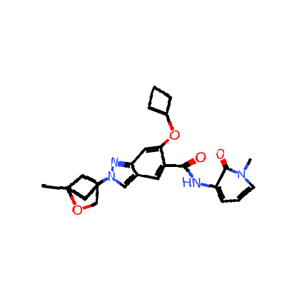 Cn1cccc(NC(=O)c2cc3cn(C45COC(C)(C4)C5)nc3cc2OC2CCC2)c1=O